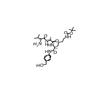 CC(C)[C@H](N)C(=O)N[C@@H](C)C(=O)N[C@@H](CCCCNC(=O)OC(C)(C)C)C(=O)Nc1ccc(CO)cc1